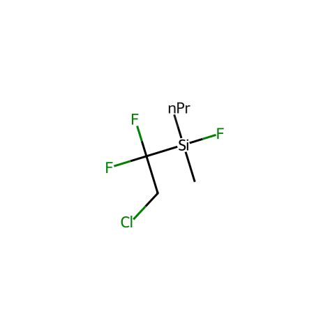 CCC[Si](C)(F)C(F)(F)CCl